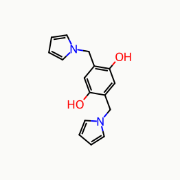 Oc1cc(Cn2cccc2)c(O)cc1Cn1cccc1